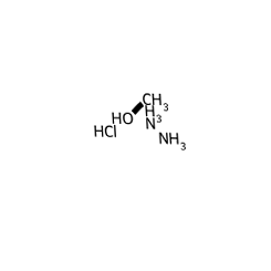 CO.Cl.N.N